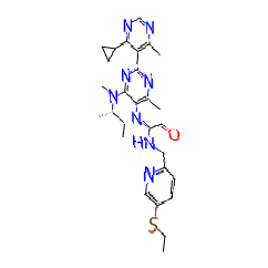 CCSc1ccc(CN/C(C=O)=N/c2c(C)nc(-c3c(C)ncnc3C3CC3)nc2N(C)[C@@H](C)CC)nc1